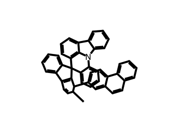 CC1C=CC2=C(C1c1ccc3c(ccc4ccccc43)c1)C1(c3ccccc32)c2ccccc2-n2c3ccccc3c3cccc1c32